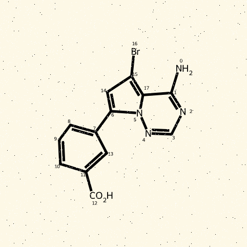 Nc1ncnn2c(-c3cccc(C(=O)O)c3)cc(Br)c12